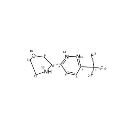 FC(F)(F)c1ccc([C@H]2COCCN2)nn1